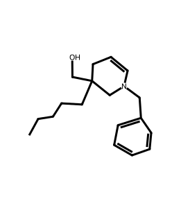 CCCCCC1(CO)CC=CN(Cc2ccccc2)C1